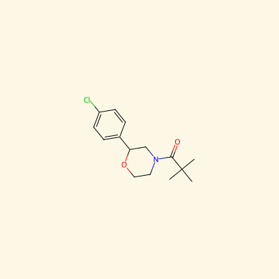 CC(C)(C)C(=O)N1CCOC(c2ccc(Cl)cc2)C1